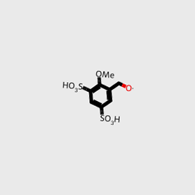 COc1c(C[O])cc(S(=O)(=O)O)cc1S(=O)(=O)O